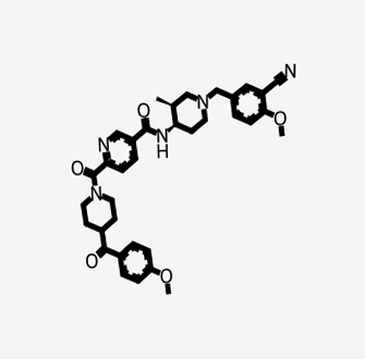 COc1ccc(C(=O)C2CCN(C(=O)c3ccc(C(=O)N[C@@H]4CCN(Cc5ccc(OC)c(C#N)c5)C[C@@H]4C)cn3)CC2)cc1